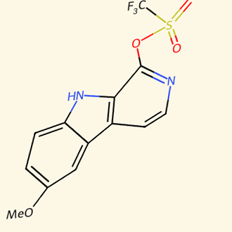 COc1ccc2[nH]c3c(OS(=O)(=O)C(F)(F)F)nccc3c2c1